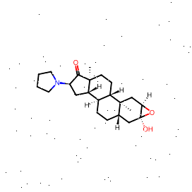 C[C@]12C[C@H]3O[C@@]3(O)C[C@@H]1CC[C@@H]1[C@@H]2CC[C@]2(C)C(=O)[C@H](N3CCCC3)C[C@@H]12